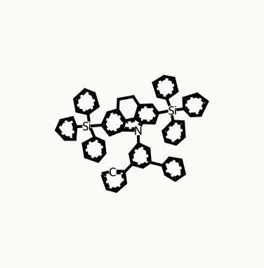 c1ccc(-c2cc(-c3ccccc3)cc(-n3c4cc([Si](c5ccccc5)(c5ccccc5)c5ccccc5)cc5c4c4c(cc([Si](c6ccccc6)(c6ccccc6)c6ccccc6)cc43)CC5)c2)cc1